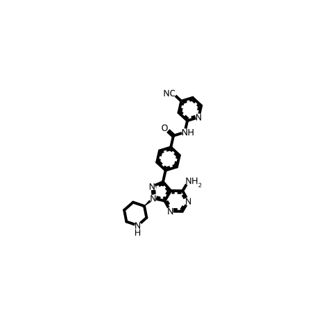 N#Cc1ccnc(NC(=O)c2ccc(-c3nn([C@@H]4CCCNC4)c4ncnc(N)c34)cc2)c1